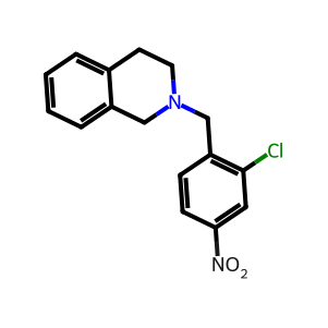 O=[N+]([O-])c1ccc(CN2CCc3ccccc3C2)c(Cl)c1